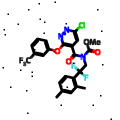 COC(=O)N(CC(F)(F)c1ccc(C)cc1C)C(=O)c1cc(Cl)nnc1Oc1cccc(C(F)(F)F)c1